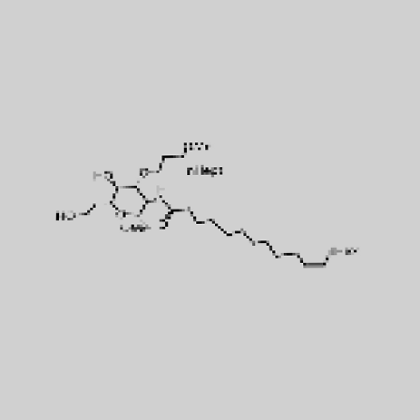 CCCCCC/C=C\CCCCCCCCCC(=O)N[C@H]1[C@H](OC)O[C@H](CCO)[C@@H](O)[C@@H]1OCC[C@@H](CCCCCCC)OC